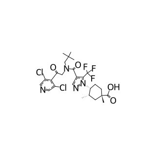 C[C@H]1C[C@@](C)(C(=O)O)CC[C@H]1n1ncc(C(=O)N(CC(=O)c2c(Cl)cncc2Cl)CC(C)(C)C)c1C(F)(F)F